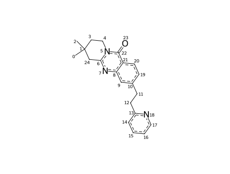 CC1(C)CCn2c(nc3cc(CCc4ccccn4)ccc3c2=O)C1